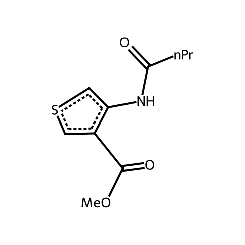 CCCC(=O)Nc1cscc1C(=O)OC